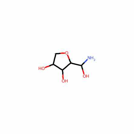 NC(O)C1O[CH]C(O)C1O